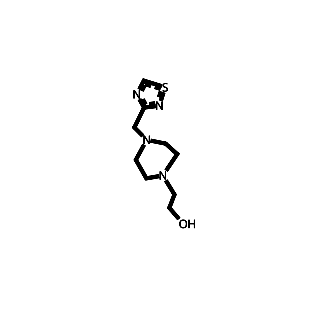 OCCN1CCN(Cc2ncsn2)CC1